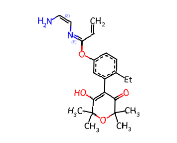 C=C/C(=N\C=C/N)Oc1ccc(CC)c(C2=C(O)C(C)(C)OC(C)(C)C2=O)c1